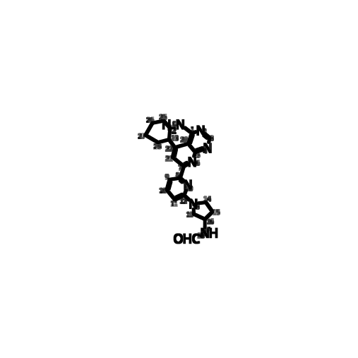 Nc1ncnc2nc(-c3cccc(N4CCC(NC=O)C4)n3)cc(C3CCCCC3)c12